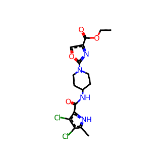 CCOC(=O)c1coc(N2CCC(NC(=O)c3[nH]c(C)c(Cl)c3Cl)CC2)n1